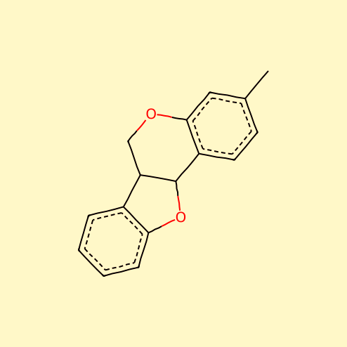 Cc1ccc2c(c1)OCC1c3ccccc3OC21